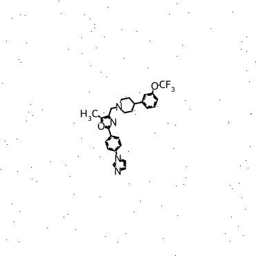 Cc1oc(-c2ccc(-n3ccnc3)cc2)nc1CN1CCC(c2cccc(OC(F)(F)F)c2)CC1